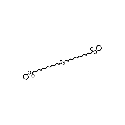 O=C(CCCCCCCCCCCCSSCCCCCCCCCCCCC(=O)OC1CCCCC1)OC1CCCCC1